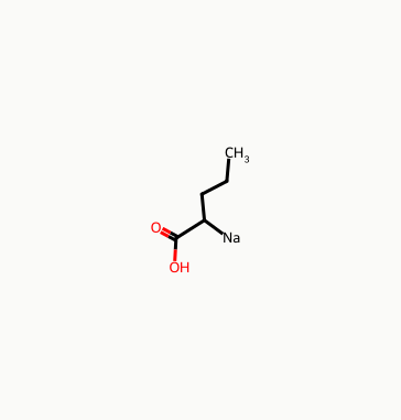 CCC[CH]([Na])C(=O)O